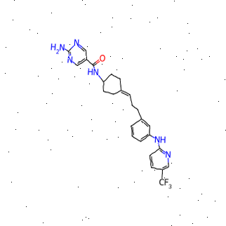 Nc1ncc(C(=O)NC2CCC(=CCCc3cccc(Nc4ccc(C(F)(F)F)cn4)c3)CC2)cn1